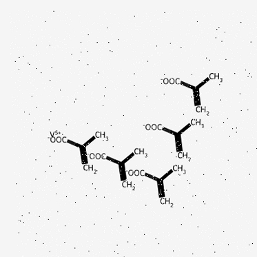 C=C(C)C(=O)[O-].C=C(C)C(=O)[O-].C=C(C)C(=O)[O-].C=C(C)C(=O)[O-].C=C(C)C(=O)[O-].[V+5]